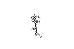 NCCCNCCCCNC(=O)CC(N)=O